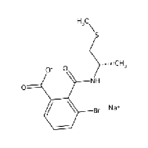 CSC[C@H](C)NC(=O)c1c(Br)cccc1C(=O)[O-].[Na+]